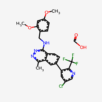 COc1ccc(CNc2nnc(C)c3cc(-c4cc(Cl)cnc4C(F)(F)F)ccc23)c(OC)c1.O=CO